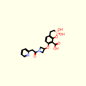 O=C(O)c1c(OC2CN(C(=O)Cc3ccccn3)C2)ccc2c1O[B-](O)(O)CC2